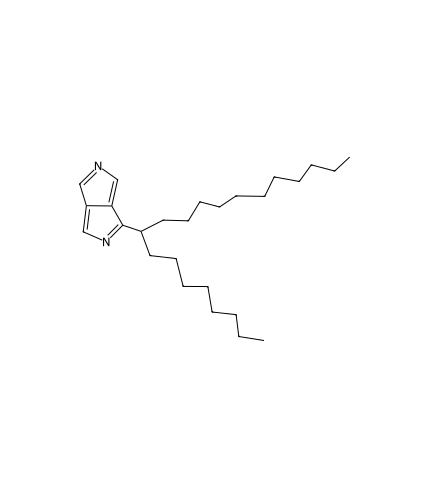 CCCCCCCCCCCC(CCCCCCCC)C1=NC=C2C=NC=C21